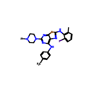 Cc1cccc(I)c1Nc1nc2c(Nc3ccc(C(F)(F)F)cc3)nc(N3CCN(C(C)C)CC3)nc2s1